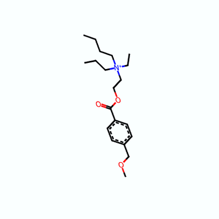 CCCC[N+](CC)(CCC)CCOC(=O)c1ccc(COC)cc1